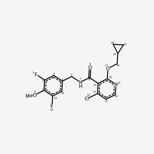 COc1c(F)cc(CNC(=O)c2c(Cl)ccnc2OCC2CC2)cc1F